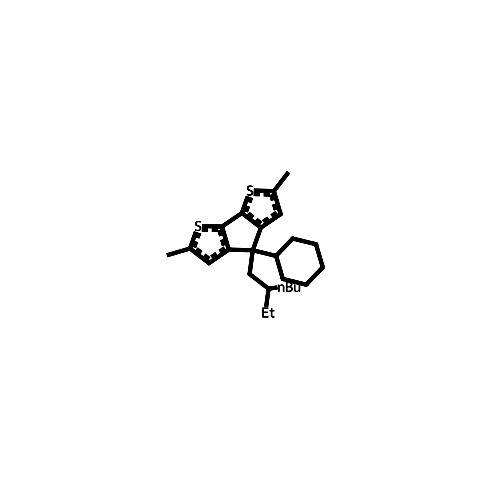 CCCCC(CC)CC1(C2CCCCC2)c2cc(C)sc2-c2sc(C)cc21